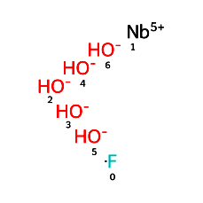 [F].[Nb+5].[OH-].[OH-].[OH-].[OH-].[OH-]